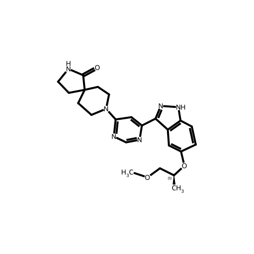 COC[C@H](C)Oc1ccc2[nH]nc(-c3cc(N4CCC5(CCNC5=O)CC4)ncn3)c2c1